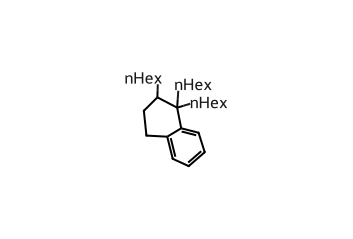 CCCCCCC1CCc2ccccc2C1(CCCCCC)CCCCCC